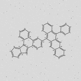 c1ccc(-c2c3ccccc3c(-c3ccc4c(c3)c3ccccc3n3c5ccccc5nc43)c3cc4ccccc4cc23)cc1